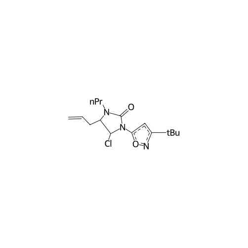 C=CCC1C(Cl)N(c2cc(C(C)(C)C)no2)C(=O)N1CCC